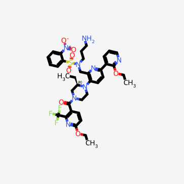 CCOc1ccc(C(=O)N2CCN(c3ccc(-c4cccnc4OCC)nc3CN(CCCN)S(=O)(=O)c3ccccc3[N+](=O)[O-])[C@H](CC)C2)c(C(F)(F)F)n1